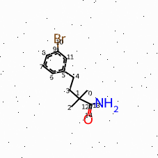 CC(C)(C[CH]c1cccc(Br)c1)C(N)=O